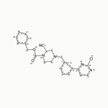 N#CC1CN(Cc2cccc(-c3ccnc(Cl)n3)c2)CCN1C(=O)OCc1ccccc1